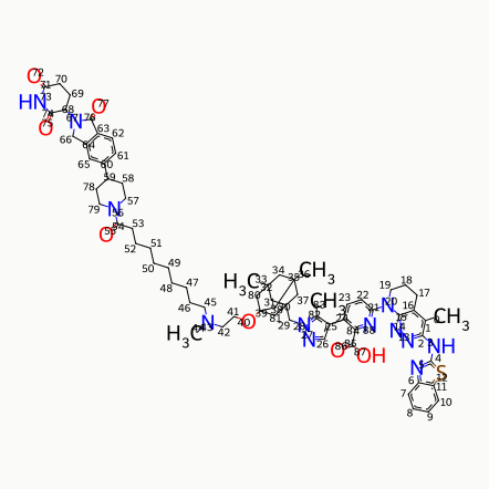 Cc1c(Nc2nc3ccccc3s2)nnc2c1CCCN2c1ccc(-c2cnn(CC34CC5(C)CC(C)(C3)CC(OCCN(C)CCCCCCCCCC(=O)N3CCC(c6ccc7c(c6)CN(C6CCC(=O)NC6=O)C7=O)CC3)(C5)C4)c2C)c(C(=O)O)n1